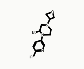 CCC1CN(C2COC2)CCN1c1ccc(C(C)C)nc1